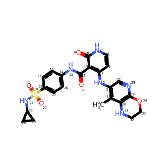 Cc1c(Nc2cc[nH]c(=O)c2C(=O)Nc2ccc(S(=O)(=O)NC3CC3)cc2)cnc2c1NCCO2